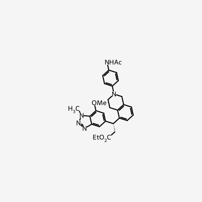 CCOC(=O)C[C@H](c1cc(OC)c2c(c1)nnn2C)c1cccc2c1CCN(c1ccc(NC(C)=O)cc1)C2